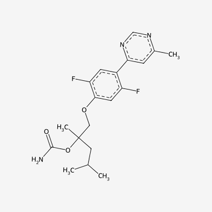 Cc1cc(-c2cc(F)c(OCC(C)(CC(C)C)OC(N)=O)cc2F)ncn1